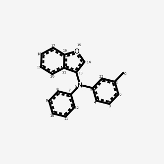 Cc1cccc(N(c2ccccc2)c2coc3ccccc23)c1